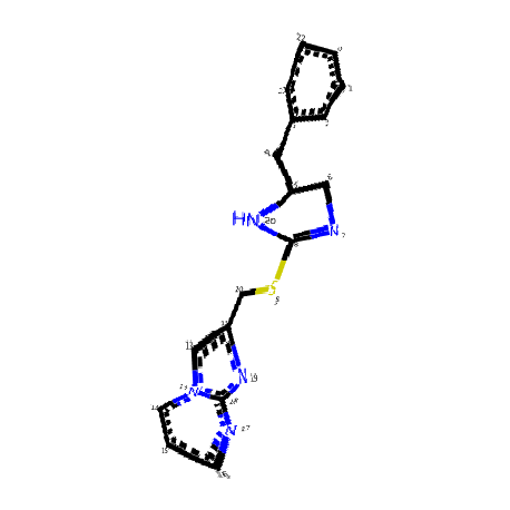 c1ccc(CC2CN=C(SCc3cn4cccnc4n3)N2)cc1